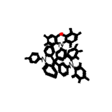 Cc1ccc(N2c3ccccc3C(c3cccc(N(c4c(C)cc(C)c(C)c4C)c4c(C)cc(C)c(C)c4C)c3)(c3cccc(N(c4c(C)cc(C)c(C)c4C)c4c(C)cc(C)c(C)c4C)c3)c3cc(C)ccc32)cc1